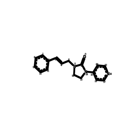 O=C1N(C/C=C/c2ccccc2)CCN1c1ccncc1